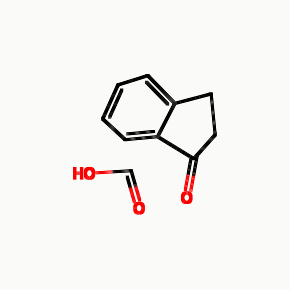 O=C1CCc2ccccc21.O=CO